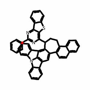 c1ccc(-c2nc(C3CCc4c(ccc5ccccc45)-c4cc5c6ccccc6n6c7ccccc7c(c43)c56)c3sc4ccccc4c3n2)cc1